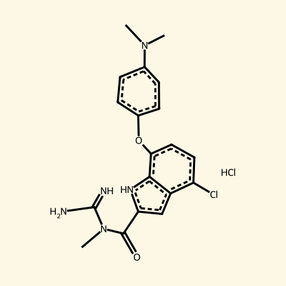 CN(C(=N)N)C(=O)c1cc2c(Cl)ccc(Oc3ccc(N(C)C)cc3)c2[nH]1.Cl